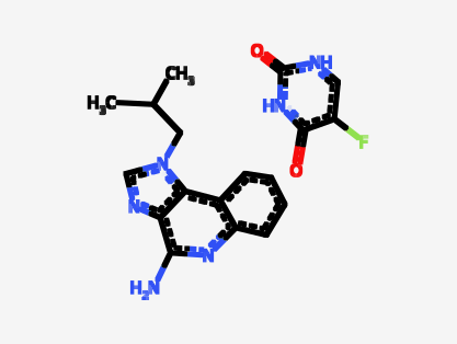 CC(C)Cn1cnc2c(N)nc3ccccc3c21.O=c1[nH]cc(F)c(=O)[nH]1